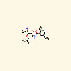 C=C(C)CC[C@H](NC(=O)c1cc(C)ccc1C)C(O)C(=O)NC1CC1